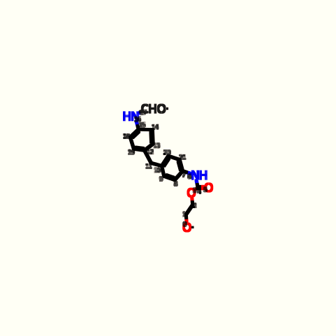 [O]CCOC(=O)Nc1ccc(Cc2ccc(N[C]=O)cc2)cc1